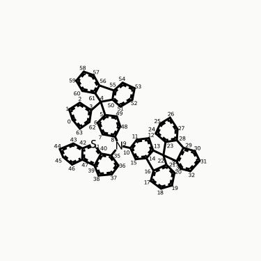 c1ccc(C2(c3ccc(N(c4ccc5c(c4)-c4ccccc4C54c5ccccc5-c5ccccc54)c4cccc5c4sc4ccccc45)cc3)c3ccccc3-c3ccccc32)cc1